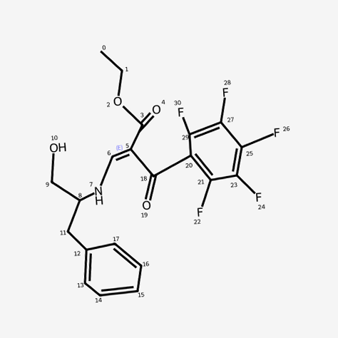 CCOC(=O)/C(=C/NC(CO)Cc1ccccc1)C(=O)c1c(F)c(F)c(F)c(F)c1F